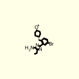 CCC1=NC(c2cc(Br)ccc2C[C@H]2CC[C@@H](OC)CC2)N=C1N